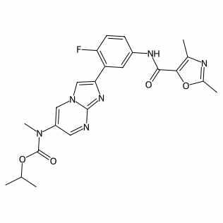 Cc1nc(C)c(C(=O)Nc2ccc(F)c(-c3cn4cc(N(C)C(=O)OC(C)C)cnc4n3)c2)o1